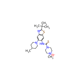 CC1CCN(c2cc3nc(C(C)(C)C)sc3cc2NC(=S)N2CC[N+](C)([O-])CC2)CC1